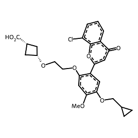 COc1cc(OCCO[C@H]2C[C@@H](C(=O)O)C2)c(-c2cc(=O)c3cccc(Cl)c3o2)cc1OCC1CC1